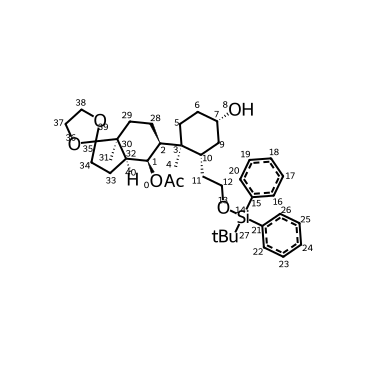 CC(=O)O[C@@H]1[C@H]([C@@]2(C)CC[C@H](O)C[C@@H]2CCO[Si](c2ccccc2)(c2ccccc2)C(C)(C)C)CC[C@@]2(C)[C@@H]1CCC21OCCO1